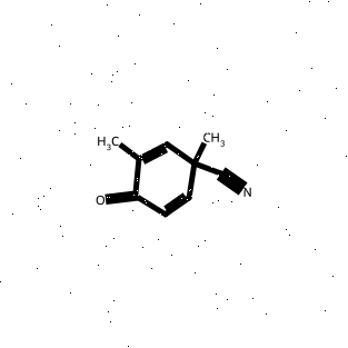 CC1=CC(C)(C#N)C=CC1=O